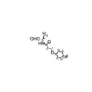 C[C@@H]([C]=O)NC(=O)CCOc1ccc(F)cc1